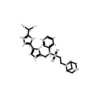 O=S(=O)(CCN1C2COCC1C2)N(Cc1ncc(-c2nnc(C(F)F)o2)s1)c1cccnc1